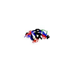 Cc1cc2c(cc1-c1nnc(C(C)(C)C)o1)N(Cc1ccc(Cl)cc1)C(=O)[C@@H](NC(=O)OC(C)(C)C)CS2(=O)=O